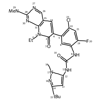 CCn1c(=O)c(-c2cc(NC(=O)Nc3cc(C(C)(C)C)nn3C)c(F)cc2Cl)cc2cnc(NC)nc21